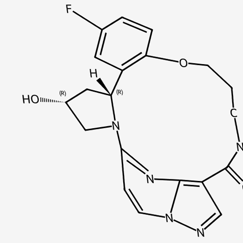 O=C1NCCCOc2ccc(F)cc2[C@H]2C[C@@H](O)CN2c2ccn3ncc1c3n2